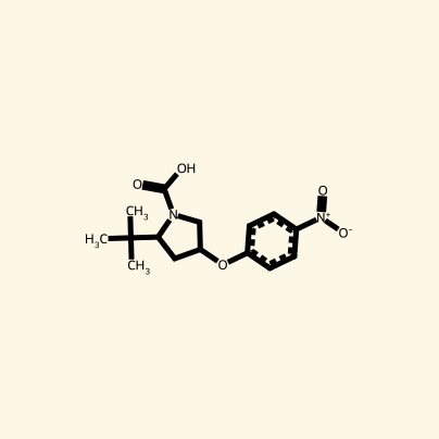 CC(C)(C)C1CC(Oc2ccc([N+](=O)[O-])cc2)CN1C(=O)O